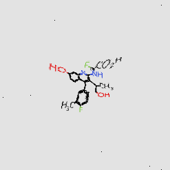 Cc1cc(-c2c(C(C)CO)c(N[C@H](F)C(=O)O)nc3cc(O)ccc23)ccc1F